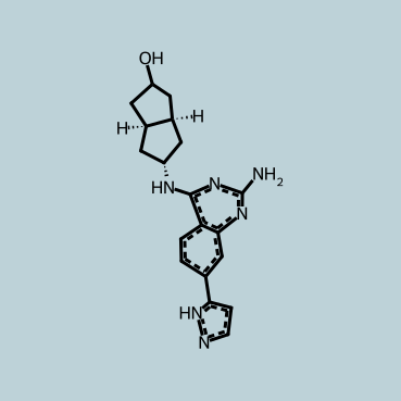 Nc1nc(N[C@@H]2C[C@H]3CC(O)C[C@H]3C2)c2ccc(-c3ccn[nH]3)cc2n1